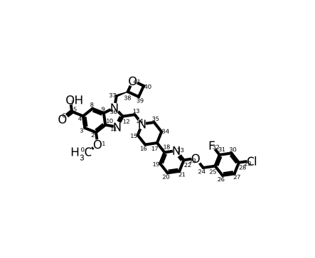 COc1cc(C(=O)O)cc2c1nc(CN1CCC(c3cccc(OCc4ccc(Cl)cc4F)n3)CC1)n2C[C@@H]1CCO1